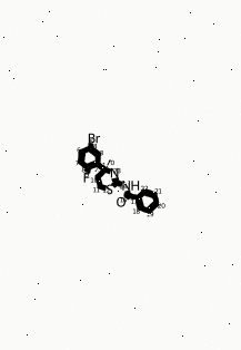 C[C@@]1(c2cc(Br)ccc2F)CCSC(NC(=O)c2ccccc2)=N1